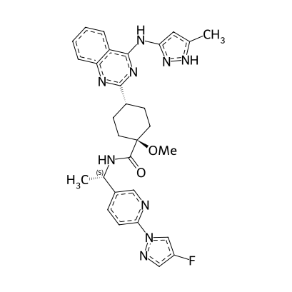 CO[C@]1(C(=O)N[C@@H](C)c2ccc(-n3cc(F)cn3)nc2)CC[C@@H](c2nc(Nc3cc(C)[nH]n3)c3ccccc3n2)CC1